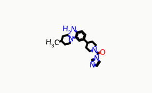 CC1CCN(c2cc(C3CCN(C(=O)n4ccnc4)CC3)ccc2N)CC1